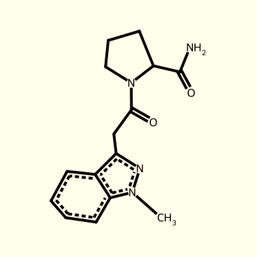 Cn1nc(CC(=O)N2CCCC2C(N)=O)c2ccccc21